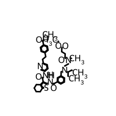 CCOC(=O)CCC(=O)N(C)CCN(Cc1cccc(C(=O)Nc2sc3c(c2C(=O)Nc2ccc(CCc4ccc(C(=O)OC)cc4)nc2)CCCC3)c1)C(CC)CC